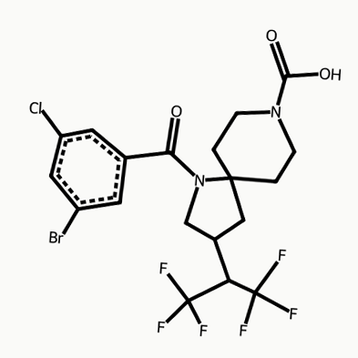 O=C(O)N1CCC2(CC1)CC(C(C(F)(F)F)C(F)(F)F)CN2C(=O)c1cc(Cl)cc(Br)c1